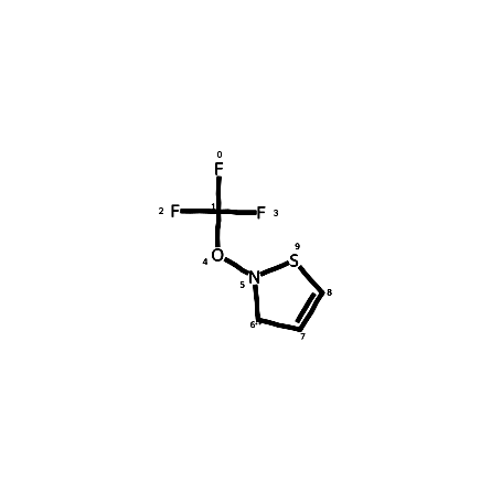 FC(F)(F)ON1[C]C=CS1